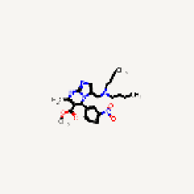 CCCCN(CCCC)Cc1cnc2n1C(c1cccc([N+](=O)[O-])c1)C(C(=O)OC)=C(C)N2